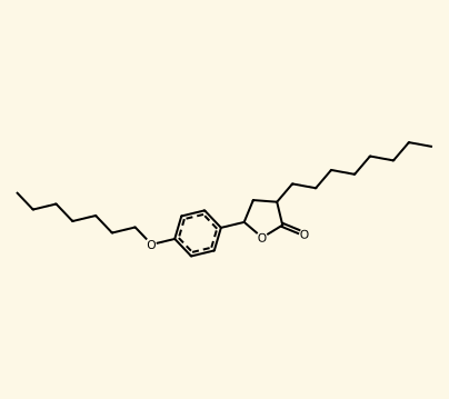 CCCCCCCCC1CC(c2ccc(OCCCCCCC)cc2)OC1=O